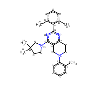 Cc1ccccc1N1CCc2nc(-c3c(C)cccc3C)nc(N3CCC(C)(C)C3)c2C1